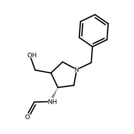 O=CN[C@H]1CN(Cc2ccccc2)CC1CO